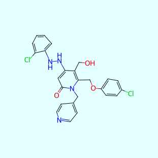 O=c1cc(NNc2ccccc2Cl)c(CO)c(COc2ccc(Cl)cc2)n1Cc1ccncc1